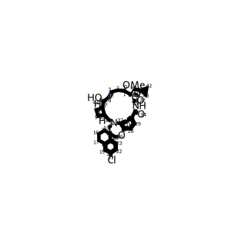 CO[C@H]1C/C=C/[C@H](O)[C@@H]2CC[C@H]2CN2C[C@@]3(CCCc4cc(Cl)ccc43)COc3ccc(cc32)C(=O)NS(=O)(=O)[C@@H]1CC1CC1